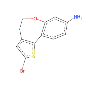 Nc1ccc2c(c1)OCCc1cc(Br)sc1-2